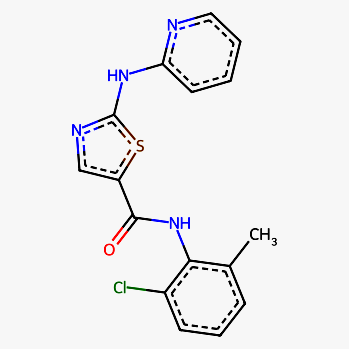 Cc1cccc(Cl)c1NC(=O)c1cnc(Nc2ccccn2)s1